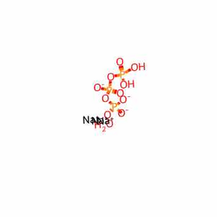 O.O=P([O-])([O-])OP(=O)([O-])OP(=O)(O)O.[Na+].[Na+].[Na+]